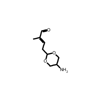 C/C(C=O)=C\CC1OCC(N)CO1